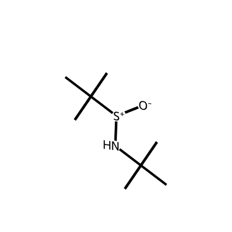 CC(C)(C)N[S+]([O-])C(C)(C)C